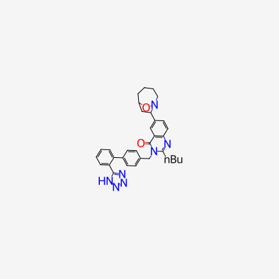 CCCCc1nc2ccc(C3CC4CCCCN3O4)cc2c(=O)n1Cc1ccc(-c2ccccc2-c2nnn[nH]2)cc1